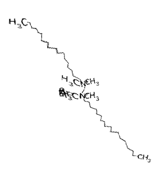 CCCCCCCCCCCCCCCCCC[N+](C)(C)CC[N+](C)(C)CCCCCCCCCCCCCCCCCC.[Br-].[Br-]